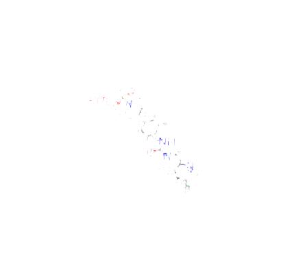 CC(C)(O)CS(=O)(=O)N1CC=C(c2ccc(NC(=O)N3Cc4cc(F)cnc4C3)cc2)CC1